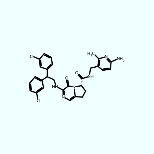 Cc1nc(N)ccc1CNC(=O)[C@@H]1CCc2cnc(NCC(c3cccc(Cl)c3)c3cccc(Cl)c3)c(=O)n21